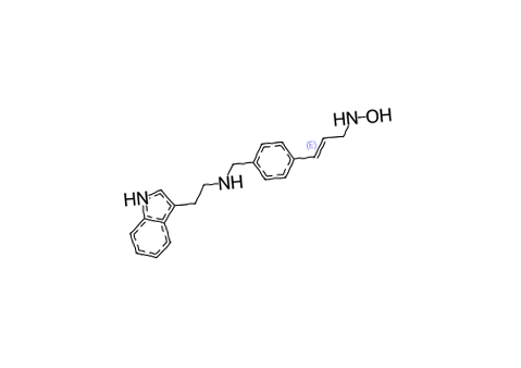 ONC/C=C/c1ccc(CNCCc2c[nH]c3ccccc23)cc1